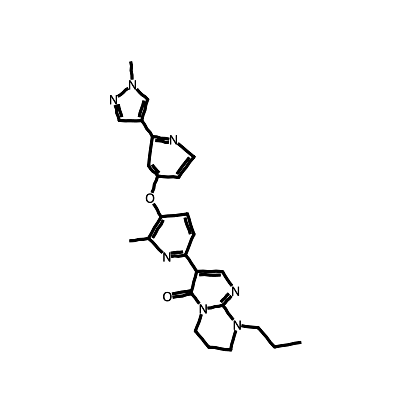 CCCN1CCCn2c1ncc(-c1ccc(Oc3ccnc(-c4cnn(C)c4)c3)c(C)n1)c2=O